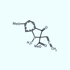 C=C=CC1(C(=O)OC)C(=O)c2ccc(OC)cc2N1C